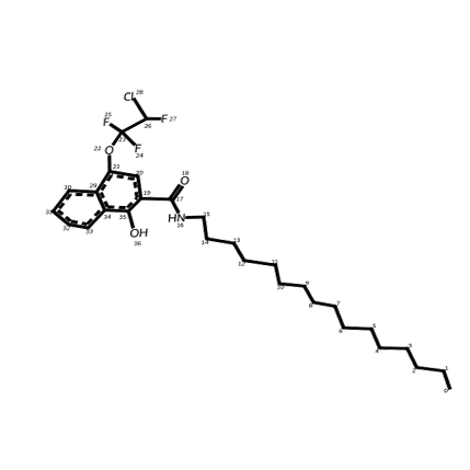 CCCCCCCCCCCCCCCCNC(=O)c1cc(OC(F)(F)C(F)Cl)c2ccccc2c1O